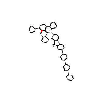 CC1(C)c2cc(-c3ccc(-c4ccc(-c5ccccc5)cc4)cc3)ccc2-c2ccc(N(c3ccccc3-c3ccc(-c4ccccc4)cc3)c3cccc4ccccc34)cc21